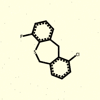 Fc1cccc2c1SCc1cccc(Cl)c1C2